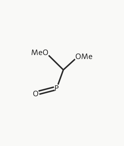 COC(OC)P=O